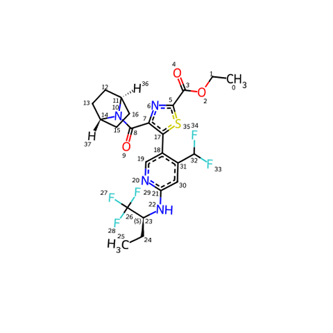 CCOC(=O)c1nc(C(=O)N2[C@H]3CC[C@H]2CC3)c(-c2cnc(N[C@@H](CC)C(F)(F)F)cc2C(F)F)s1